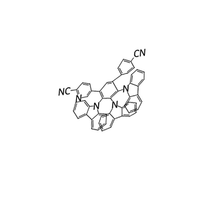 N#Cc1ccc(-c2cc(-c3ccc(C#N)nc3)c(-n3c4ccccc4c4ccccc43)c(-n3c4ccccc4c4ccccc43)c2-n2c3ccccc3c3ccccc32)cc1